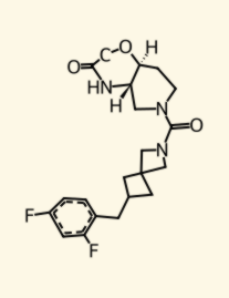 O=C1CO[C@H]2CCN(C(=O)N3CC4(CC(Cc5ccc(F)cc5F)C4)C3)C[C@@H]2N1